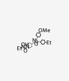 CCc1ccc(-c2oc(C3CCN(C(=O)N(O)CC)CC3)nc2-c2ccc(OC)cc2)cc1